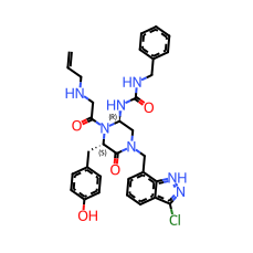 C=CCNCC(=O)N1[C@@H](NC(=O)NCc2ccccc2)CN(Cc2cccc3c(Cl)n[nH]c23)C(=O)[C@@H]1Cc1ccc(O)cc1